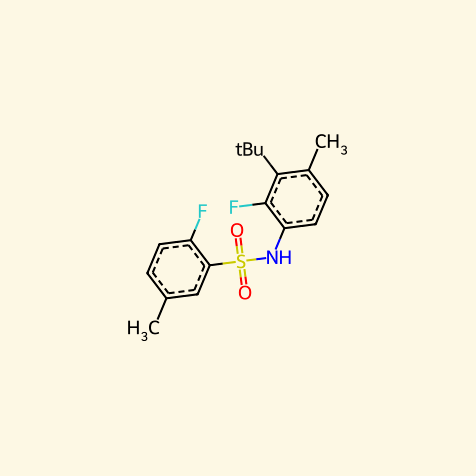 Cc1ccc(F)c(S(=O)(=O)Nc2ccc(C)c(C(C)(C)C)c2F)c1